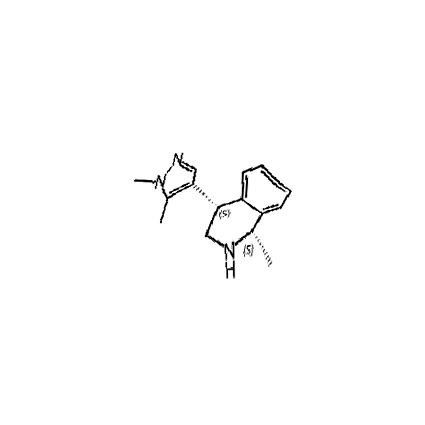 Cc1c([C@H]2CN[C@@H](C)c3ccccc32)cnn1C